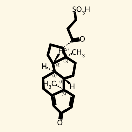 C[C@]12CC[C@H]3[C@@H](CCC4=CC(=O)C=C[C@@]43C)[C@@H]1CC[C@@H]2C(=O)CCS(=O)(=O)O